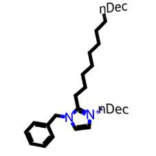 CCCCCCCCCCCCCCCCCCc1n(Cc2ccccc2)cc[n+]1CCCCCCCCCC